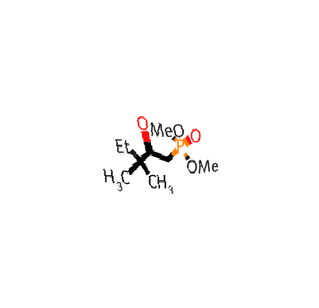 CCC(C)(C)C(=O)CP(=O)(OC)OC